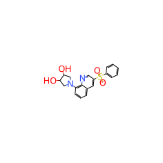 O=S(=O)(c1ccccc1)c1cnc2c(N3CC(O)C(O)C3)cccc2c1